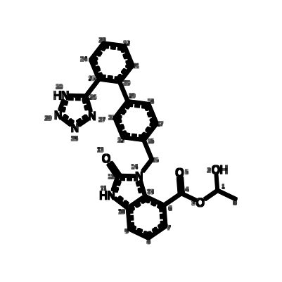 CC(O)OC(=O)c1cccc2[nH]c(=O)n(Cc3ccc(-c4ccccc4-c4nnn[nH]4)cc3)c12